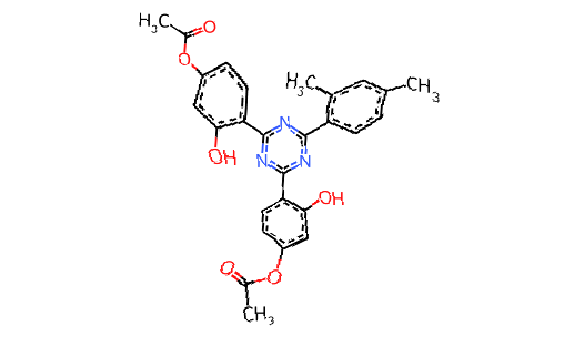 CC(=O)Oc1ccc(-c2nc(-c3ccc(C)cc3C)nc(-c3ccc(OC(C)=O)cc3O)n2)c(O)c1